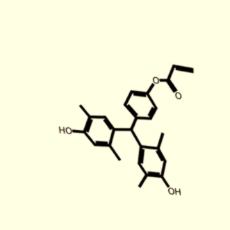 C=CC(=O)Oc1ccc(C(c2cc(C)c(O)cc2C)c2cc(C)c(O)cc2C)cc1